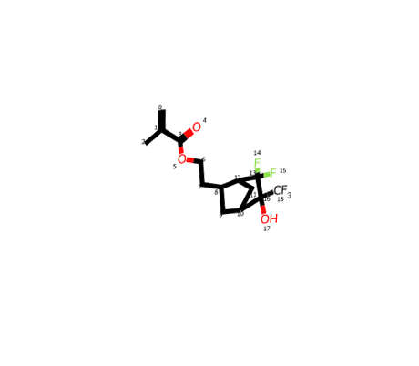 C=C(C)C(=O)OCCC1CC2CC1C(F)(F)C2(O)C(F)(F)F